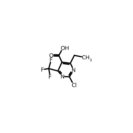 CCc1nc(Cl)nc(C(F)(F)F)c1C(=O)O